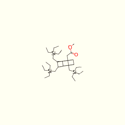 CC[Si](CC)(CC)CC12C3C4C1(CC(=O)OC)C1C2C3(C[Si](CC)(CC)CC)C41C[Si](CC)(CC)CC